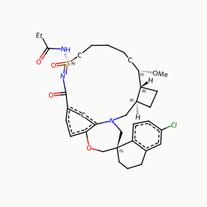 CCC(=O)N[S@@]1(=O)=NC(=O)c2ccc3c(c2)N(C[C@@H]2CC[C@H]2[C@@H](OC)CCCCC1)C[C@@]1(CCCc2cc(Cl)ccc21)CO3